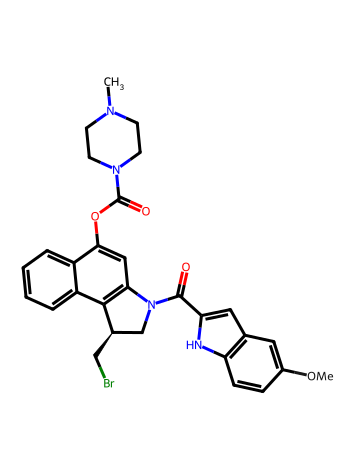 COc1ccc2[nH]c(C(=O)N3C[C@@H](CBr)c4c3cc(OC(=O)N3CCN(C)CC3)c3ccccc43)cc2c1